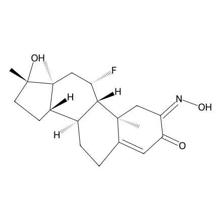 C[C@]12C/C(=N/O)C(=O)C=C1CC[C@@H]1[C@@H]2[C@@H](F)C[C@@]2(C)[C@H]1CC[C@]2(C)O